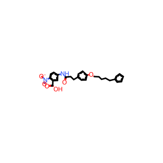 O=C(CCc1ccc(OCCCCCc2ccccc2)cc1)Nc1ccc([N+](=O)[O-])c(C(=O)O)c1